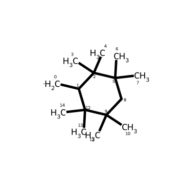 [CH2]C1C(C)(C)C(C)(C)CC(C)(C)C1(C)C